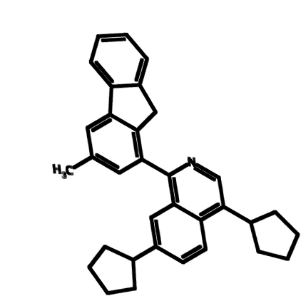 Cc1cc2c(c(-c3ncc(C4CCCC4)c4ccc(C5CCCC5)cc34)c1)Cc1ccccc1-2